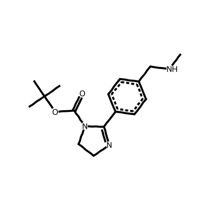 CNCc1ccc(C2=NCCN2C(=O)OC(C)(C)C)cc1